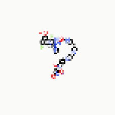 C#Cc1c(F)ccc2cc(O)cc(-c3ncc4c(N5CC6CCC(C5)N6)nc(OCCN5CCC(CC6CCN(CC7CCN(c8ccc9c(c8)CN([C@H]8CCC(=O)NC8=O)C9=O)CC7)CC6)CC5)nc4c3F)c12